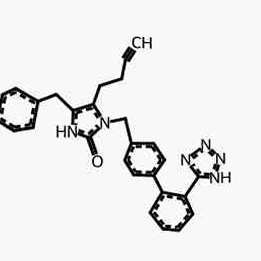 C#CCCc1c(Cc2ccccc2)[nH]c(=O)n1Cc1ccc(-c2ccccc2-c2nnn[nH]2)cc1